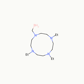 BCN1CCN(CC)CCN(CC)CCN(CC)CC1